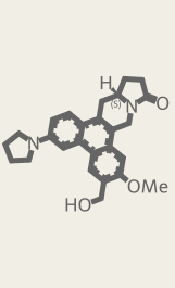 COc1cc2c3c(c4ccc(N5CCCC5)cc4c2cc1CO)C[C@@H]1CCC(=O)N1C3